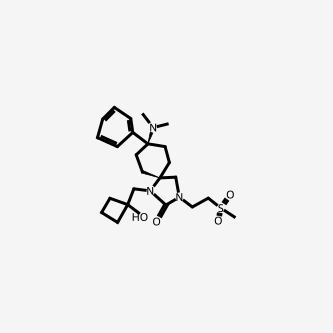 CN(C)[C@]1(c2ccccc2)CC[C@@]2(CC1)CN(CCS(C)(=O)=O)C(=O)N2CC1(O)CCC1